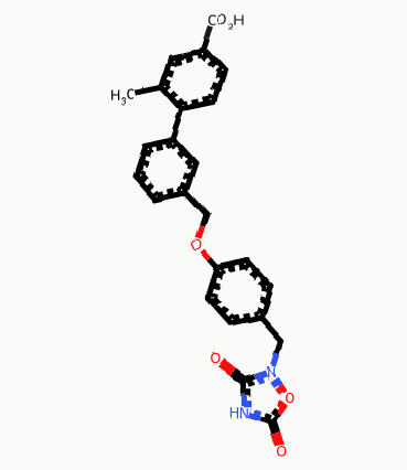 Cc1cc(C(=O)O)ccc1-c1cccc(COc2ccc(Cn3oc(=O)[nH]c3=O)cc2)c1